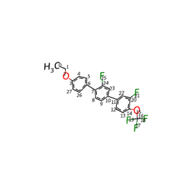 CCOc1ccc(-c2ccc(-c3ccc(OC(F)(F)F)c(F)c3)cc2F)cc1